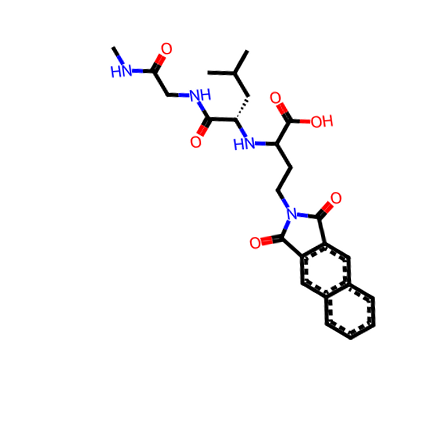 CNC(=O)CNC(=O)[C@H](CC(C)C)NC(CCN1C(=O)c2cc3ccccc3cc2C1=O)C(=O)O